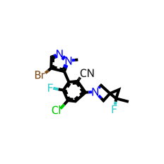 Cn1ncc(Br)c1-c1c(F)c(Cl)cc(N2CC3(C2)CC3(C)F)c1C#N